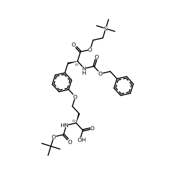 CC(C)(C)OC(=O)N[C@@H](CCOc1cccc(C[C@H](NC(=O)OCc2ccccc2)C(=O)OCC[Si](C)(C)C)c1)C(=O)O